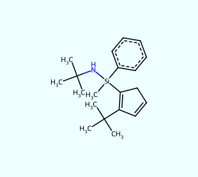 CC(C)(C)N[Si](C)(C1=C(C(C)(C)C)C=CC1)c1ccccc1